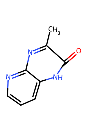 Cc1nc2ncccc2[nH]c1=O